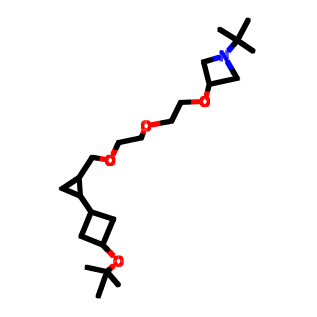 CC(C)(C)OC1CC(C2CC2COCCOCCOC2CN(C(C)(C)C)C2)C1